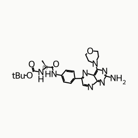 C[C@H](NC(=O)OC(C)(C)C)C(=O)Nc1ccc(-c2cnc3nc(N)nc(N4CCOCC4)c3n2)cc1